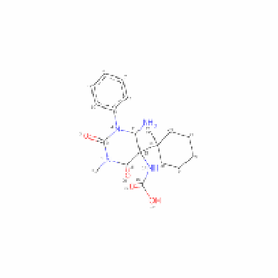 CN1C(=O)N(c2ccccc2)C(N)C(NC(=O)O)(C2(C)CCCCC2)C1=O